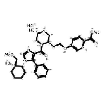 COC[C@]1(O)CCCC[C@H]1n1cnc(C(=O)N2CCNC[C@H]2CCOc2ccc(C(=O)OC)nc2)c1-c1ccccc1.Cl.Cl